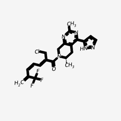 C=C(/C=C\C=C(/CCl)C(=O)N1Cc2nc(C)nc(-c3ccn[nH]3)c2C[C@@H]1C)C(F)(F)F